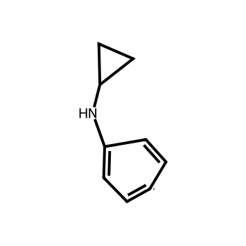 [c]1ccc(NC2CC2)cc1